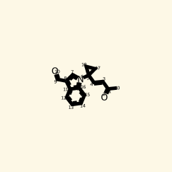 CC(=O)/C=C/C1(n2cc(C=O)c3ccccc32)CC1